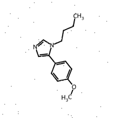 CCCCn1cncc1-c1ccc(OC)cc1